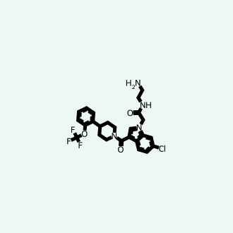 NCCNC(=O)Cn1cc(C(=O)N2CCC(c3ccccc3OC(F)(F)F)CC2)c2ccc(Cl)cc21